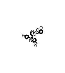 COc1cccc(CNc2nccc(-c3c(-c4ccc(F)cc4)nc4cc(CN(C)C)ccn34)n2)c1OC